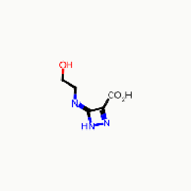 O=C(O)C1=NNC1=NCCO